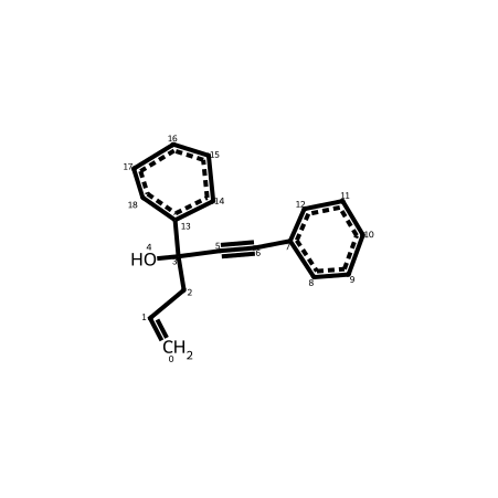 C=CCC(O)(C#Cc1ccccc1)c1ccccc1